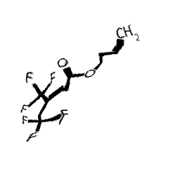 C=CCOC(=O)C=C(C(F)(F)F)C(F)(F)F